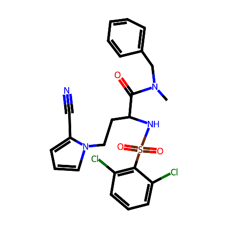 CN(Cc1ccccc1)C(=O)C(CCn1cccc1C#N)NS(=O)(=O)c1c(Cl)cccc1Cl